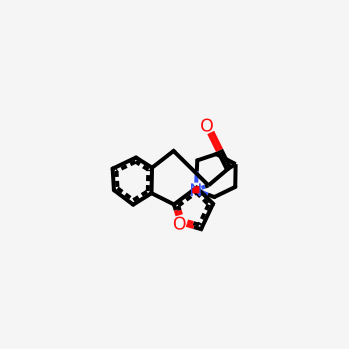 O=C1C2CCN(CC2)C1Cc1ccccc1-c1ccco1